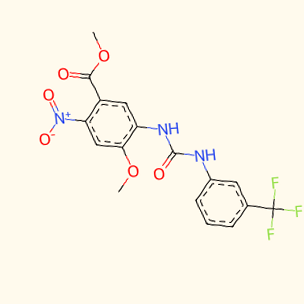 COC(=O)c1cc(NC(=O)Nc2cccc(C(F)(F)F)c2)c(OC)cc1[N+](=O)[O-]